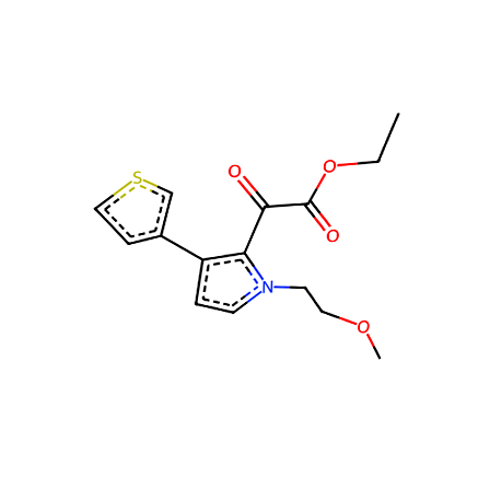 CCOC(=O)C(=O)c1c(-c2ccsc2)ccn1CCOC